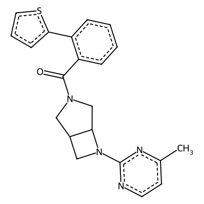 Cc1ccnc(N2CC3CN(C(=O)c4ccccc4-c4cccs4)CC32)n1